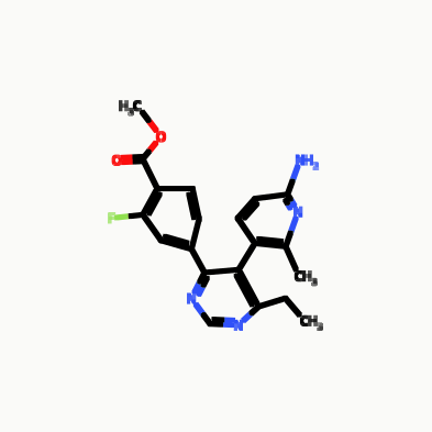 CCc1ncnc(-c2ccc(C(=O)OC)c(F)c2)c1-c1ccc(N)nc1C